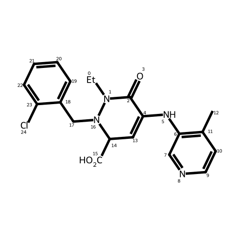 CCN1C(=O)C(Nc2cnccc2C)=CC(C(=O)O)N1Cc1ccccc1Cl